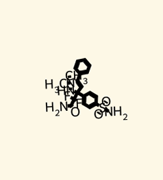 C[N+]1(C)NC(c2ccc(S(N)(=O)=O)cc2)(C(F)(F)C(N)=O)C=C1c1ccccc1